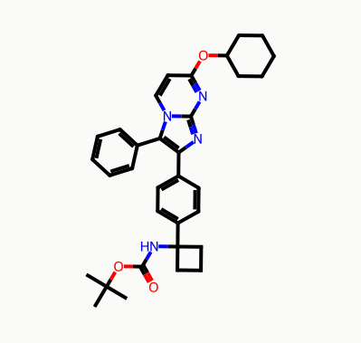 CC(C)(C)OC(=O)NC1(c2ccc(-c3nc4nc(OC5CCCCC5)ccn4c3-c3ccccc3)cc2)CCC1